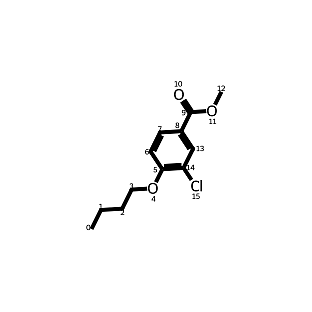 CCCCOc1ccc(C(=O)OC)cc1Cl